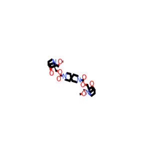 COC[C@]1(COC(=O)N2CCC3(CC2)CCN(C(=O)OC[C@@]2(COC)C(=O)C4CCN2CC4)CC3)C(=O)C2CCN1CC2